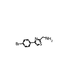 NCc1nc(-c2ccc(Br)cc2)cs1